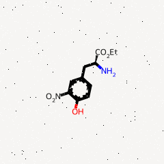 CCOC(=O)[C@@H](N)Cc1ccc(O)c([N+](=O)[O-])c1